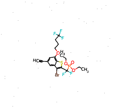 C#Cc1cc(OCCCC(F)(F)F)c2sc(C(F)(F)P(=O)(OCC)OCC)c(Br)c2c1